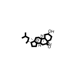 CC(C)CC(C)[C@H]1CC[C@H]2[C@@H]3CC(=O)[C@H]4CC[C@H](O)C[C@]4(C)[C@H]3CC[C@]12C